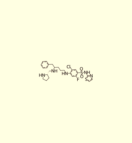 O=S(=O)(Nc1nccs1)c1cc(Cl)c(NCCCC(Cc2ccccc2)NC[C@@H]2CCCN2)cc1F